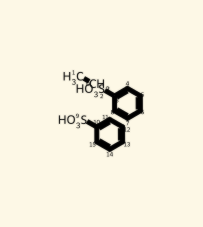 CC.O=S(=O)(O)c1ccccc1.O=S(=O)(O)c1ccccc1